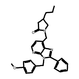 CCCC1CC(=O)N(Cc2ccnc3c2nc(-c2ccccc2)n3Cc2ccc(OC)cc2)C1